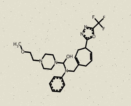 COCCN1CCN(C(O)N(CC2=CCC(c3nnc(C(F)(F)F)o3)C=CC2)c2ccccc2)CC1